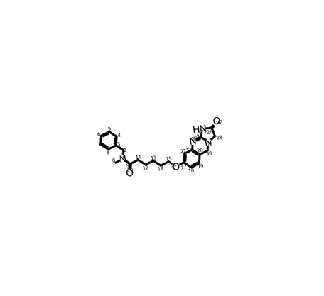 CN(Cc1ccccc1)C(=O)CCCCCOc1ccc2c(c1)N=C1NC(=O)CN1C2